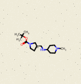 CN1CCC(NC[C@H]2CCN(C(=O)OC(C)(C)C)C2)CC1